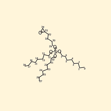 CCCCCCCCO[Si](OCCCCCCCC)(OCCCCCCCC)OCCCCC1CO1